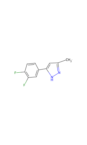 [CH2]c1cc(-c2ccc(F)c(F)c2)[nH]n1